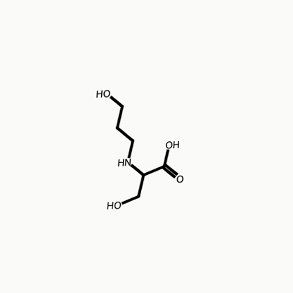 O=C(O)C(CO)NCCCO